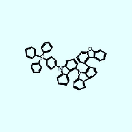 c1ccc([Si](c2ccccc2)(c2ccccc2)c2ccc(-n3c4ccccc4c4c(-n5c6ccccc6c6cccc(-c7cccc8oc9ccccc9c78)c65)cccc43)cc2)cc1